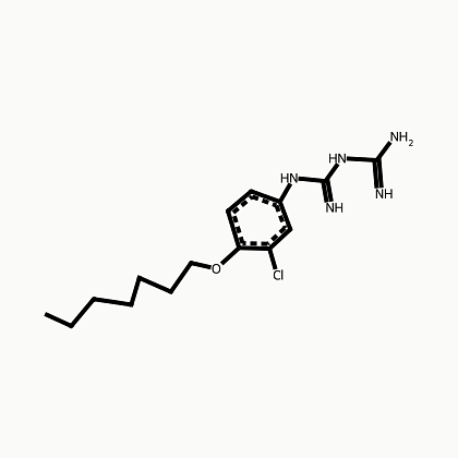 CCCCCCCOc1ccc(NC(=N)NC(=N)N)cc1Cl